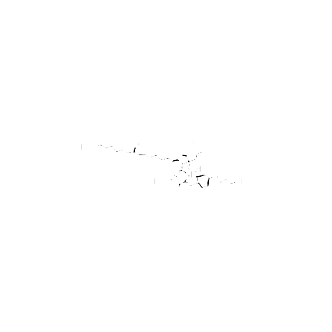 CCCCCCCC(=O)CCCCCCC=CC(C(=O)N[C@@H](Cc1ccc(OCCCC)cc1)C(=O)OC)C(O)(CCO)C(=O)O